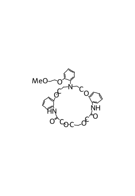 COCCOc1ccccc1N1CCOc2ccccc2NC(=O)COCCOCC(=O)Nc2ccccc2OCC1